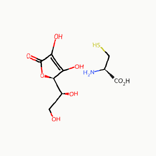 N[C@@H](CS)C(=O)O.O=C1O[C@H]([C@@H](O)CO)C(O)=C1O